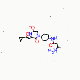 COCCN(C(=O)c1cc(C2CC2)on1)[C@H]1CC[C@H](NC(=O)C[C@@H](C)N)CC1